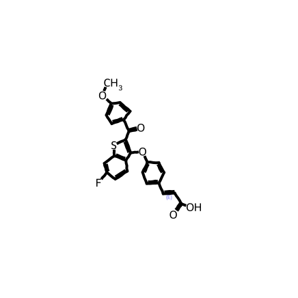 COc1ccc(C(=O)c2sc3cc(F)ccc3c2Oc2ccc(/C=C/C(=O)O)cc2)cc1